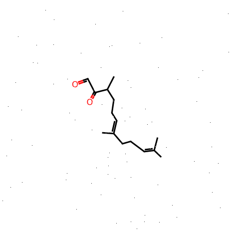 CC(C)=CCCC(C)=CCCC(C)C(=O)C=O